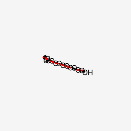 O=S(=O)(OCCOCCOCCOCCOCCOCCOCCOCCOCCOCCO)c1ccccc1